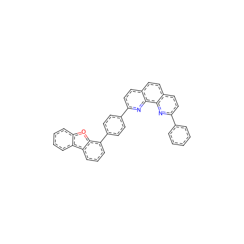 c1ccc(-c2ccc3ccc4ccc(-c5ccc(-c6cccc7c6oc6ccccc67)cc5)nc4c3n2)cc1